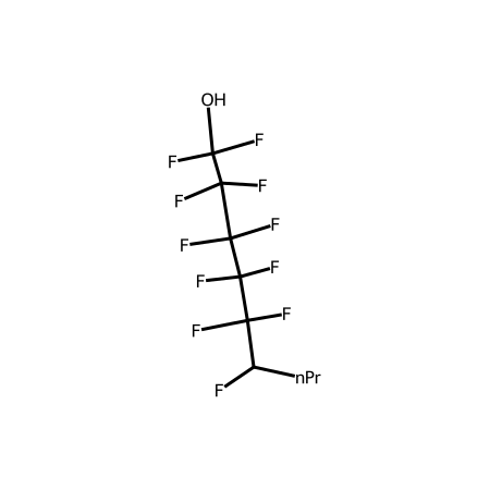 CCCC(F)C(F)(F)C(F)(F)C(F)(F)C(F)(F)C(O)(F)F